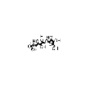 O=[PH](O)OCC(O)C(O)C(O)CO[C@@H]1O[C@H](CO)C(O)[C@@H]1O